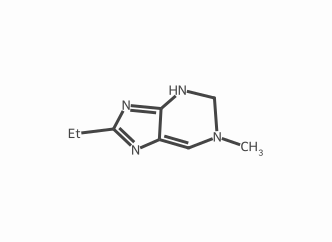 CCC1=NC2=CN(C)CNC2=N1